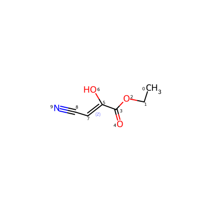 CCOC(=O)/C(O)=C/C#N